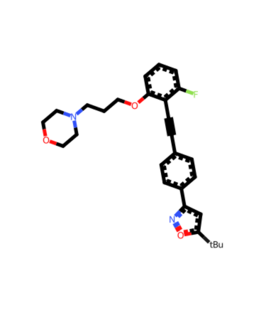 CC(C)(C)c1cc(-c2ccc(C#Cc3c(F)cccc3OCCCN3CCOCC3)cc2)no1